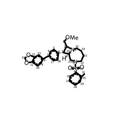 COCC1[C@@H](c2ccc(-c3ccc4c(c3)OCO4)cc2)[C@@H]2CN(S(=O)(=O)c3ccccc3C)CCCCN12